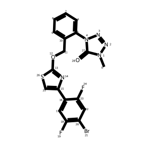 Cn1nnn(-c2ccccc2COc2nc(-c3cc(F)c(Br)cc3F)cs2)c1=O